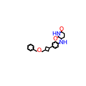 O=C1CCC(Nc2ccc(C3CC(COCc4ccccc4)C3)cc2)C(=O)N1